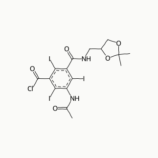 CC(=O)Nc1c(I)c(C(=O)Cl)c(I)c(C(=O)NCC2COC(C)(C)O2)c1I